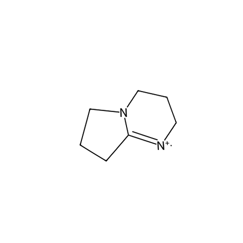 C1C[N+]=C2CCCN2C1